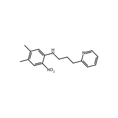 Cc1cc(NCCCc2ccccn2)c([N+](=O)[O-])cc1C